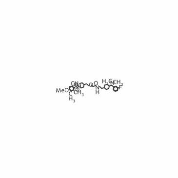 COc1cc(C)c(S(=O)(=O)N2CCC(CCOCC(=O)NCCC3CCC(C(c4cccc(F)c4)N(C)C)CC3)CC2)c(C)c1C